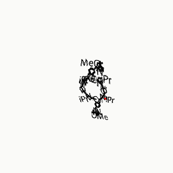 COC(C)(C)c1ccnn1Cc1ccc(C[C@@H]2CN(C)[C@@H](CC(C)C)CO[C@H](C)CN(C)[C@@H](CC(C)C)CO[C@H](Cc3ccc(Cn4nccc4C(C)(C)OC)cc3)CN(C)[C@@H](CC(C)C)CO[C@H](C)CN(C)[C@@H](CC(C)C)CO2)cc1